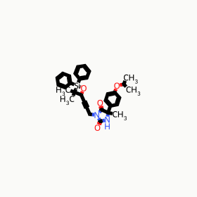 CC(C)Oc1ccc(C2(C)NC(=O)N(CC#CC3O[Si](c4ccccc4)(c4ccccc4)C3(C)C)C2=O)cc1